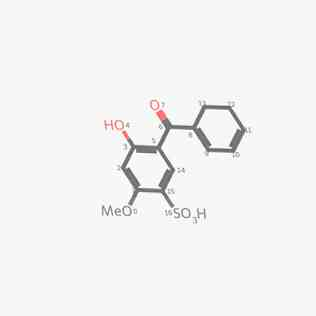 COc1cc(O)c(C(=O)C2=CC=CCC2)cc1S(=O)(=O)O